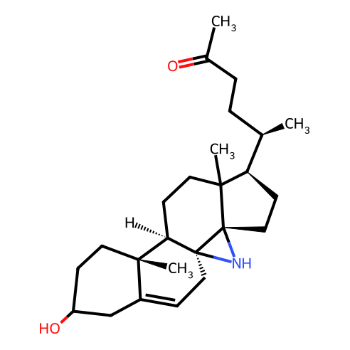 CC(=O)CC[C@@H](C)[C@H]1CC[C@@]23N[C@]24CC=C2CC(O)CC[C@]2(C)[C@H]4CCC13C